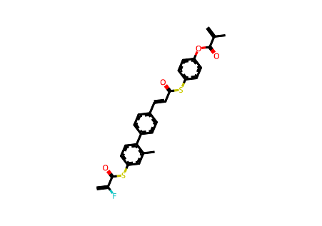 C=C(C)C(=O)Oc1ccc(SC(=O)/C=C/c2ccc(-c3ccc(SC(=O)C(=C)F)cc3C)cc2)cc1